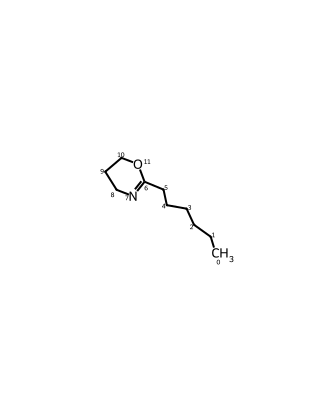 CCCCCCC1=NCCCO1